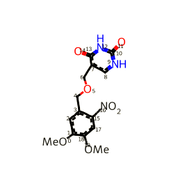 COc1cc(COCc2c[nH]c(=O)[nH]c2=O)c([N+](=O)[O-])cc1OC